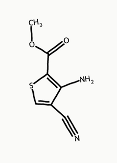 COC(=O)c1scc(C#N)c1N